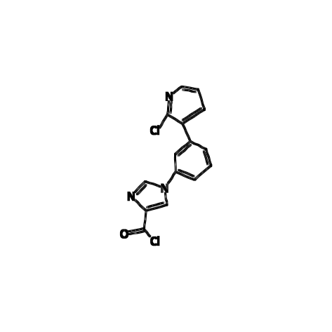 O=C(Cl)c1cn(-c2cccc(-c3cccnc3Cl)c2)cn1